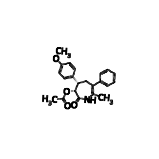 COc1ccc([C@@H]2CC(c3ccccc3)=C(C)NC(=O)[C@@H]2OC(C)=O)cc1